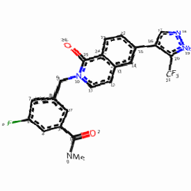 CNC(=O)c1cc(F)cc(Cn2ccc3cc(-c4cn[nH]c4C(F)(F)F)ccc3c2=O)c1